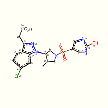 C[C@@H]1CN(S(=O)(=O)c2cnc(O)nc2)C[C@@H]1n1nc(CC(=O)O)c2ccc(Cl)cc21